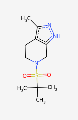 Cc1n[nH]c2c1CCN(S(=O)(=O)C(C)(C)C)C2